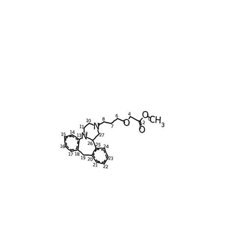 COC(=O)COCCCN1CCN2c3ccccc3Cc3ccccc3C2C1